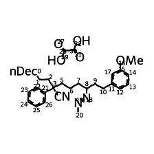 CCCCCCCCCCCCC(C#N)(CCCC(CCc1cccc(OC)c1)N=NC)c1ccccc1.O=C(O)C(=O)O